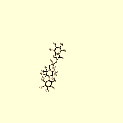 [2H]c1c([2H])c(Cl)c([2H])c(N2C([2H])([2H])C([2H])([2H])N(CC([2H])([2H])Cn3nc4c([2H])c([2H])c([2H])c([2H])n4c3=O)C([2H])([2H])C2([2H])[2H])c1[2H]